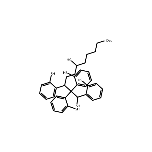 [CH2]CCCCCCCCCCCCCC(S)CCC(c1ccccc1S)C([C](S)c1ccccc1S)(c1ccccc1S)c1ccccc1S